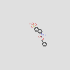 O=C(Nc1ccc2cc(S(=O)(=O)O)ccc2c1)OCc1ccccc1